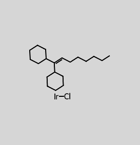 CCCCCCC=C(C1CCCCC1)C1CCCCC1.[Cl][Ir]